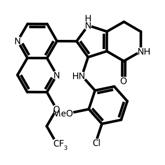 COc1c(Cl)cccc1Nc1c(-c2ccnc3ccc(OCC(F)(F)F)nc23)[nH]c2c1C(=O)NCC2